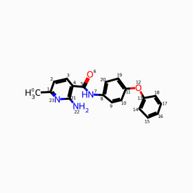 Cc1ccc(C(=O)Nc2ccc(Oc3ccccc3)cc2)c(N)n1